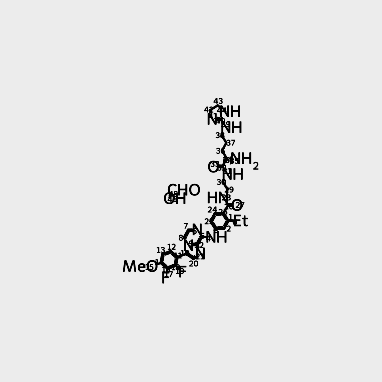 CCc1cc(Nc2nccn3c(-c4ccc(OC)c(F)c4F)cnc23)ccc1C(=O)NCCNC(=O)[C@@H](N)CCCNC1=NCCN1.O=CO